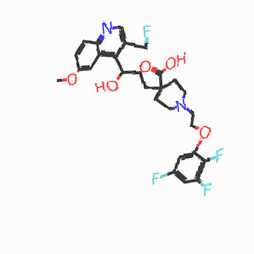 COc1ccc2ncc(CF)c(C(O)CCC3(C(=O)O)CCN(CCOc4cc(F)cc(F)c4F)CC3)c2c1